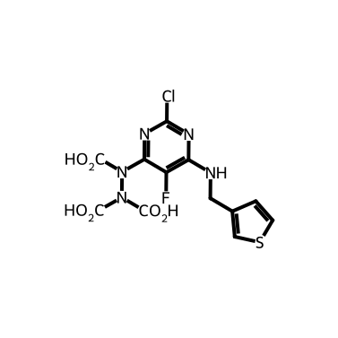 O=C(O)N(C(=O)O)N(C(=O)O)c1nc(Cl)nc(NCc2ccsc2)c1F